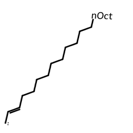 [CH]C=CCCCCCCCCCCCCCCCCCC